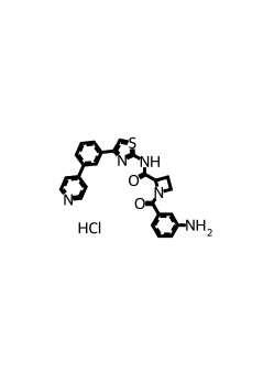 Cl.Nc1cccc(C(=O)N2CCC2C(=O)Nc2nc(-c3cccc(-c4ccncc4)c3)cs2)c1